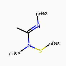 CCCCCCCCCCSN(CCCCCC)C(C)=NCCCCCC